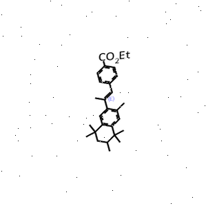 CCOC(=O)c1ccc(/C=C(\C)c2cc3c(cc2C)C(C)(C)C(C)CC3(C)C)cc1